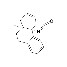 O=C=N[C@@]12CC=CC[C@@H]1CCc1ccccc12